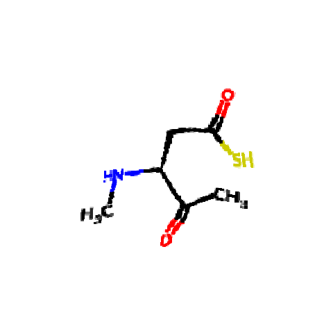 CN[C@@H](CC(=O)S)C(C)=O